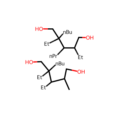 CCCCC(CC)(CO)C(CC)C(C)CO.CCCCC(CC)(CO)C(CCC)C(CC)CO